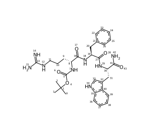 CC(C)(C)OC(=O)N[C@H](CCCNC(=N)N)C(=O)N[C@@H](Cc1ccccc1)C(=O)N[C@@H](Cc1c[nH]c2ccccc12)C(N)=O